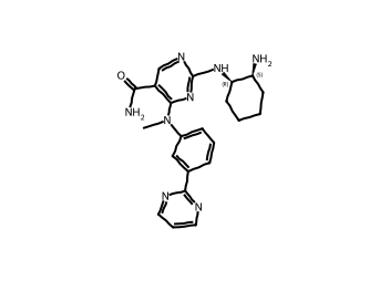 CN(c1cccc(-c2ncccn2)c1)c1nc(N[C@@H]2CCCC[C@@H]2N)ncc1C(N)=O